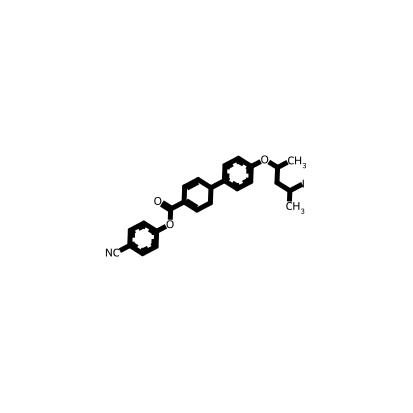 CC(I)CC(C)Oc1ccc(C2C=CC(C(=O)Oc3ccc(C#N)cc3)=CC2)cc1